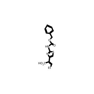 CCC=C(C(=O)O)c1csc(NC(=O)OCc2ccccc2)n1